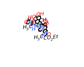 C=C1C(NC(C)C(=O)N2CCOCC2)CC2[C@](C)(CC[C@@H](O)[C@@]2(C)CO)C1CC(Nc1ccccn1)C1=C/C(=C\C2=CN3C(=O)C(C(=O)OCC)N(C)C3C=C2)OC1=O